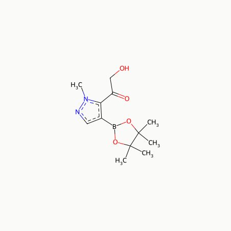 Cn1ncc(B2OC(C)(C)C(C)(C)O2)c1C(=O)CO